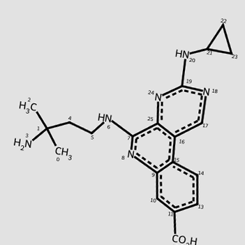 CC(C)(N)CCNc1nc2cc(C(=O)O)ccc2c2cnc(NC3CC3)nc12